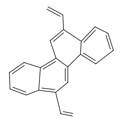 C=Cc1cc2c3ccccc3c(C=C)cc2c2ccccc12